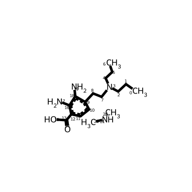 CCCN(CCC)CCc1ccc(C(=O)O)c(N)c1N.CNC